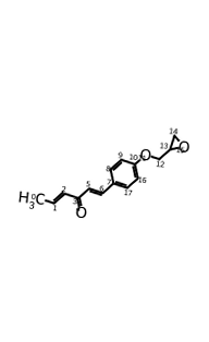 C/C=C/C(=O)/C=C/c1ccc(OCC2CO2)cc1